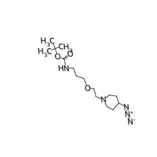 CC(C)(C)OC(=O)NCCCOCCN1CCC(N=[N+]=[N-])CC1